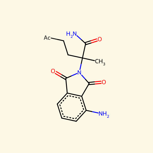 CC(=O)CCC(C)(C(N)=O)N1C(=O)c2cccc(N)c2C1=O